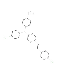 CC(C)(C)c1ccc([C@H](c2ccc(Br)cc2)c2ccc(/C=C/c3ccc(Br)cc3)cc2)cc1